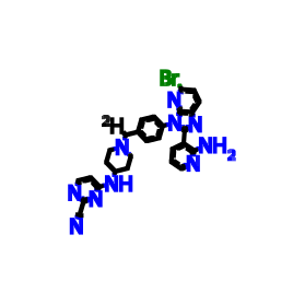 [2H]C(c1ccc(-n2c(-c3cccnc3N)nc3ccc(Br)nc32)cc1)N1CCC(Nc2ccnc(C#N)n2)CC1